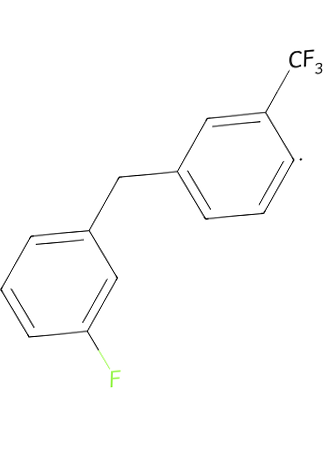 Fc1cccc(Cc2cc[c]c(C(F)(F)F)c2)c1